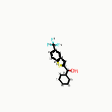 OC(c1cc2cc(C(F)(F)F)ccc2s1)C1CCCCC1